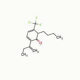 C=C(CC)C1=CC=C(C(F)(F)F)C(CCCC)C1=O